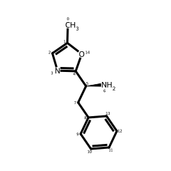 Cc1cnc([C@@H](N)Cc2ccccc2)o1